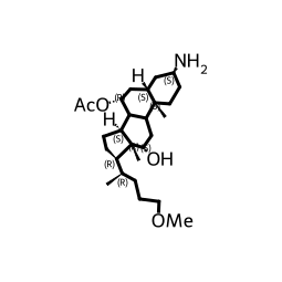 COCCC[C@@H](C)[C@H]1CC[C@H]2C3C(C[C@H](O)[C@]12C)[C@@]1(C)CC[C@H](N)C[C@H]1C[C@H]3OC(C)=O